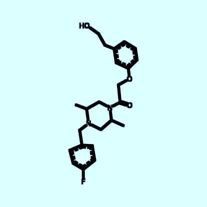 CC1CN(C(=O)COc2cccc(CCO)c2)C(C)CN1Cc1ccc(F)cc1